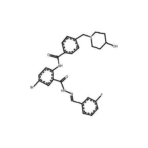 O=C(Nc1ccc(Br)cc1C(=O)N/N=C/c1cccc(F)c1)c1ccc(CN2CCC(O)CC2)cc1